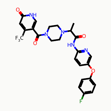 CC(C(=O)Nc1ccc(Oc2ccc(F)cc2)cn1)N1CCN(C(=O)c2c[nH]c(=O)cc2C(F)(F)F)CC1